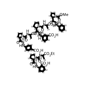 CCOC(=O)C(C)NC(=O)N1CCCC1C(=O)NNc1ccc(C(=O)O)cc1.CCOC(=O)C(C)NC(=O)N1CCCC1C(=O)NNc1cccc(C(=O)O)c1.CCOC(=O)C(C)NC(=O)N1CCCC1C(=O)NNc1ccccc1C(=O)O.COC(=O)N1CCCC1C(=O)NNc1ccccc1